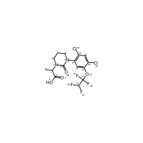 CC(C(=O)O)N1CCCN(c2cc(OC(F)(F)C(F)F)c(Cl)cc2Cl)C1=O